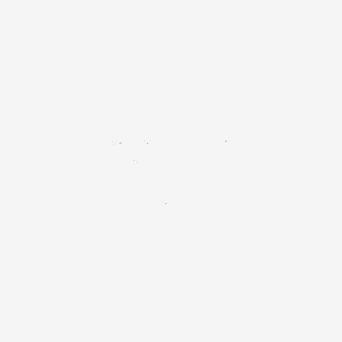 CSc1nc(O)c2c(OC3COCC3CO)c(Cl)c(Br)c(F)c2n1